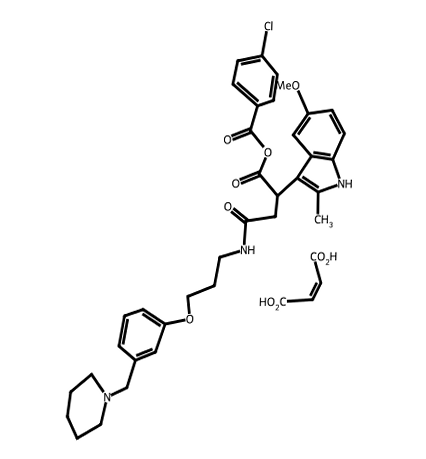 COc1ccc2[nH]c(C)c(C(CC(=O)NCCCOc3cccc(CN4CCCCC4)c3)C(=O)OC(=O)c3ccc(Cl)cc3)c2c1.O=C(O)/C=C\C(=O)O